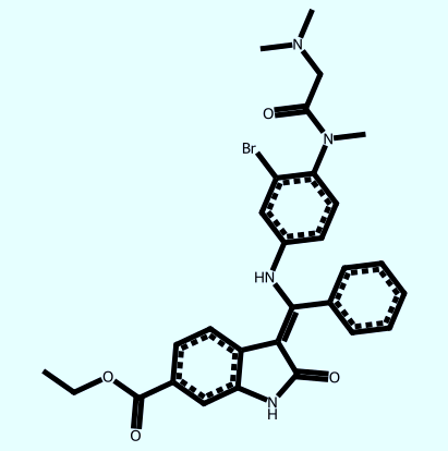 CCOC(=O)c1ccc2c(c1)NC(=O)C2=C(Nc1ccc(N(C)C(=O)CN(C)C)c(Br)c1)c1ccccc1